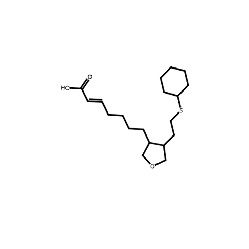 O=C(O)C=CCCCCC1COCC1CCSC1CCCCC1